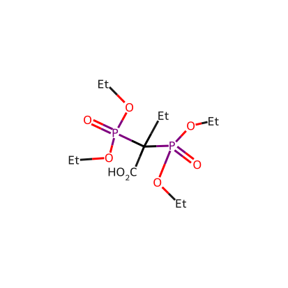 CCOP(=O)(OCC)C(CC)(C(=O)O)P(=O)(OCC)OCC